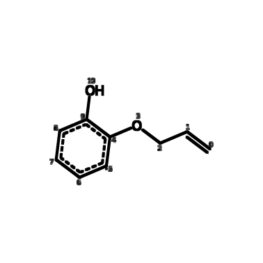 C=CCOc1[c]cccc1O